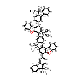 CC1(C)c2ccccc2-c2cc(-c3cc4c(c5c3oc3ccccc35)-c3cc5c(cc3[Si]4(C)C)-c3c(cc(-c4ccc6c(c4)-c4ccccc4C6(C)C)c4c3oc3ccccc34)[Si]5(C)C)ccc21